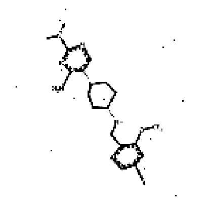 CN(C)c1ncc([C@H]2CC[C@@H](NCc3ccc(Br)cc3OC(F)(F)F)CC2)c(N)n1